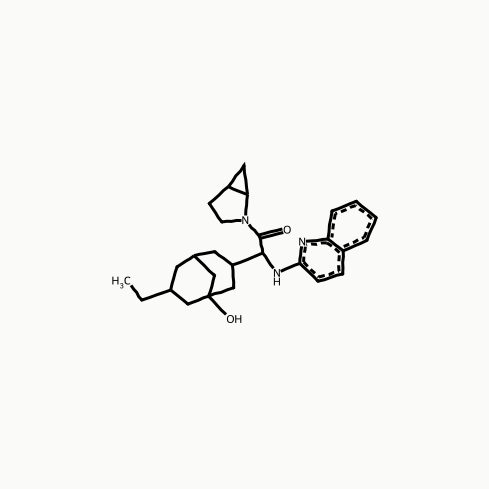 CCC1CC2CC(C(Nc3ccc4ccccc4n3)C(=O)N3CCC4CC43)CC(O)(C1)C2